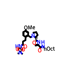 CCCCCCCCNC(=O)c1coc([C@@H]2CCCN2Cc2cc(OC)ccc2CCC(=O)NS(=O)(=O)N(C)C)n1